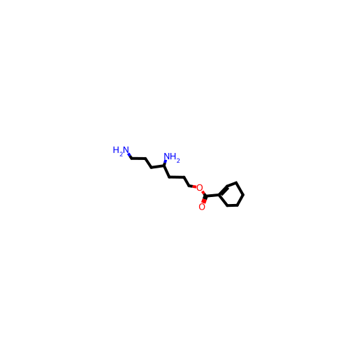 NCCCC(N)CCCOC(=O)C1=CCCCC1